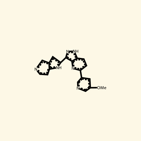 COc1cncc(-c2ccc3[nH]nc(-c4cc5cnccc5[nH]4)c3n2)c1